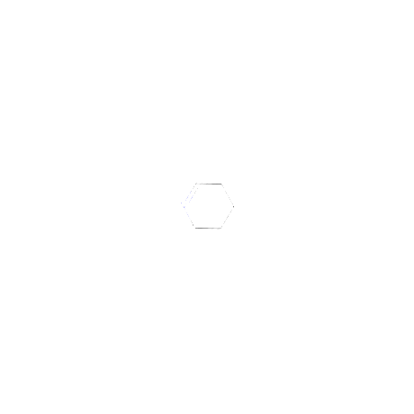 [C]1[C]N=CCC1